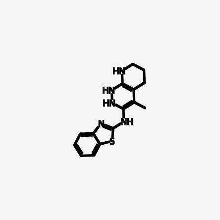 CC1=C(Nc2nc3ccccc3s2)NNC2=C1CCCN2